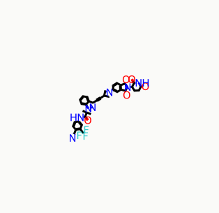 CC(C)(C(=O)Nc1ccc(C#N)c(C(F)(F)F)c1)n1nc(C#CC2CN(c3ccc4c(c3)C(=O)N(C3CCC(=O)NC3=O)C4=O)C2)c2ccccc21